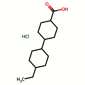 CCC1CCC(C2CCC(C(=O)O)CC2)CC1.Cl